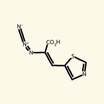 [N-]=[N+]=N/C(=C/c1cncs1)C(=O)O